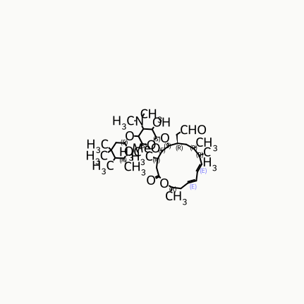 CO[C@@H]1[C@@H](O[C@@H]2O[C@@H](C)C(O[C@H]3CC(C)(C)C(C)[C@@H](C)O3)C(N(C)C)C2O)[C@@H](CC=O)C[C@@H](C)[C@@H](C)/C=C/C=C/C[C@@H](C)OC(=O)C[C@H]1C